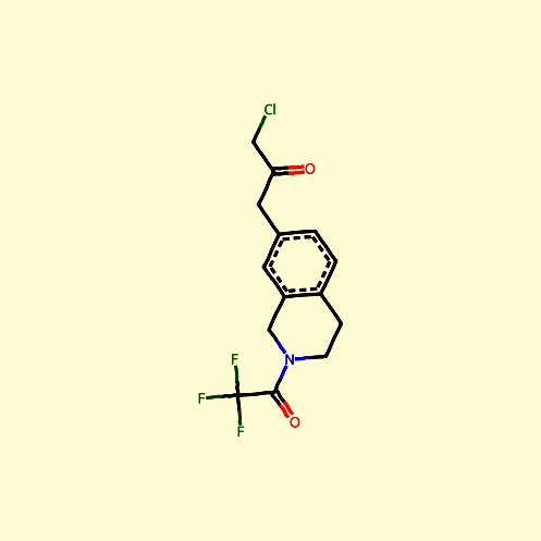 O=C(CCl)Cc1ccc2c(c1)CN(C(=O)C(F)(F)F)CC2